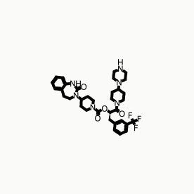 O=C(O[C@H](Cc1cccc(C(F)(F)F)c1)C(=O)N1CCC(N2CCNCC2)CC1)N1CCC(N2CCc3ccccc3NC2=O)CC1